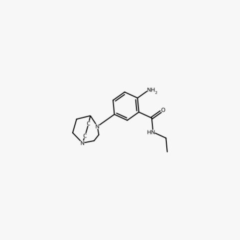 CCNC(=O)c1cc(N2CCN3CCC2CC3)ccc1N